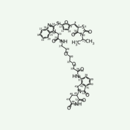 CC(C)N1C(=O)SC(=Cc2ccc(Sc3nc4ccccc4n3CC(=O)NCCOCCOCC(=O)Nc3cccc4c3CN(C3CCC(=O)NC3=O)C4=O)o2)C1=O